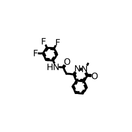 Cn1nc(CC(=O)Nc2cc(F)c(F)c(F)c2)c2ccccc2c1=O